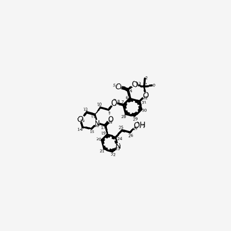 CC1(C)OC(=O)c2c(OCC[C@@H]3COCCN3C(=O)c3cccnc3CCO)cccc2O1